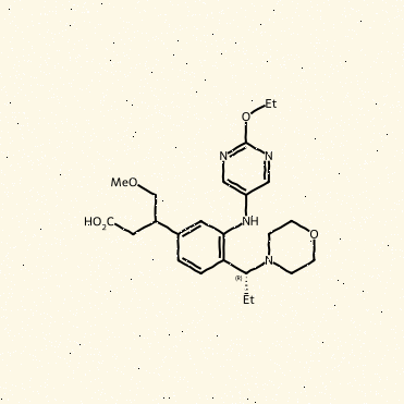 CCOc1ncc(Nc2cc(C(COC)CC(=O)O)ccc2[C@@H](CC)N2CCOCC2)cn1